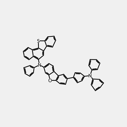 c1ccc(N(c2ccccc2)c2ccc(-c3ccc4oc5cc(N(c6ccccc6)c6cc7c8ccccc8sc7c7ccccc67)ccc5c4c3)cc2)cc1